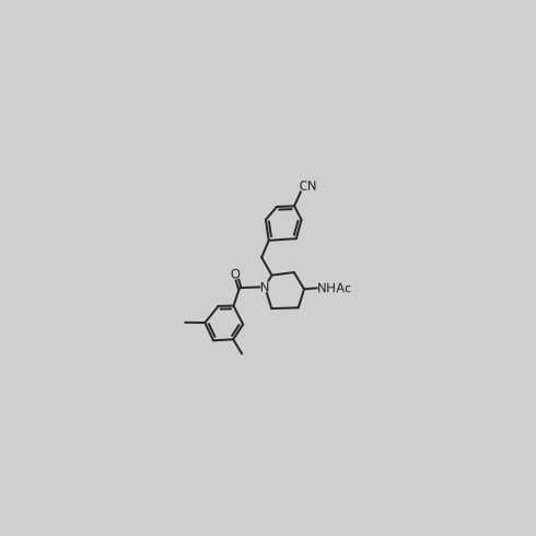 CC(=O)NC1CCN(C(=O)c2cc(C)cc(C)c2)C(Cc2ccc(C#N)cc2)C1